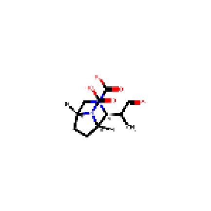 CC(C=O)[C@H]1[C@@H]2CC[C@H](CN1C(=O)O)N2C(=O)O